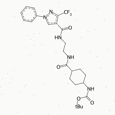 CC(C)(C)OC(=O)NC1CCC(C(=O)NCCNC(=O)c2cn(-c3ccccc3)nc2C(F)(F)F)CC1